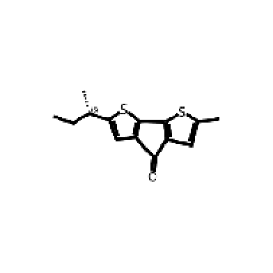 CC[C@H](C)c1cc2c(s1)-c1sc(C)cc1C2=O